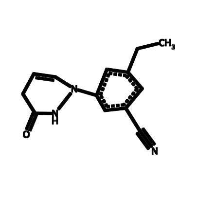 CCc1cc(C#N)cc(N2C=CCC(=O)N2)c1